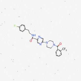 O=C(NCCc1ccc(F)cc1)c1cnc(N2CCN(C(=O)c3ccccc3C(F)(F)F)CC2)cn1